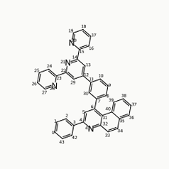 c1ccc(-c2cc(-c3cccc(-c4cc(-c5ccccn5)nc(-c5ccccn5)c4)c3)c3c(ccc4ccccc43)n2)cc1